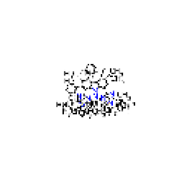 CC(C)(C)c1ccc(N(c2ccc(C(C)(C)C)cc2)n2c3c(-c4nc(C(C)(C)C)nc(C(C)(C)C)n4)cc(C(C)(C)C)cc3c3c(-c4ccccc4)c(C(C)(C)C)c(-c4ccccc4)c(-c4nc(C(C)(C)C)nc(C(C)(C)C)n4)c32)cc1